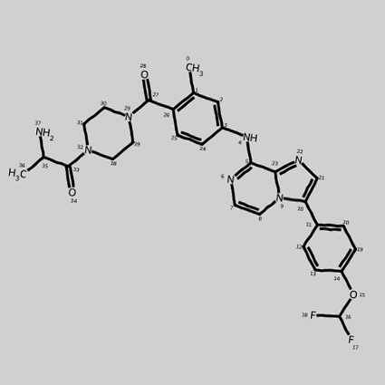 Cc1cc(Nc2nccn3c(-c4ccc(OC(F)F)cc4)cnc23)ccc1C(=O)N1CCN(C(=O)C(C)N)CC1